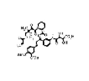 C=CC(=O)OCC(C)(C)C(=O)C(=O)N1CCCC[C@H]1C(=O)O[C@H](CCc1ccc(OC)c(OC)c1)c1cccc(NC(=O)C(N)C(O)C(=O)O)c1